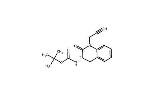 C#CCN1C(=O)[C@@H](NC(=O)OC(C)(C)C)Cc2ccccc21